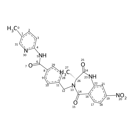 Cc1ccc(NC(=O)c2ccc(CN3C(=O)c4ccc([N+](=O)[O-])cc4NC(=O)[C@H]3C)cc2)nc1